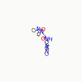 O=C(CCCN1C(=O)CN=C(C2CCCCC2)c2ccccc21)Nc1ccc(N2CCC(N3CCCCC3)CC2)cc1